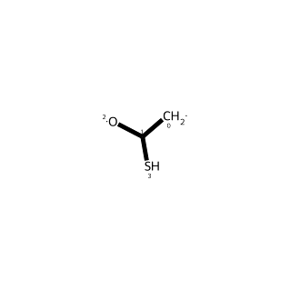 [CH2]C([O])S